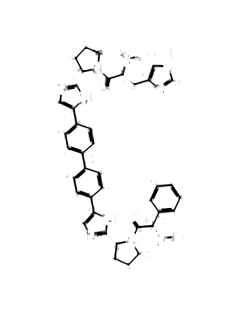 CCN(CC)[C@@H](C(=O)N1CCC[C@H]1c1ncc(-c2ccc(-c3ccc(-c4cnc([C@@H]5CCCN5C(=O)[C@H](Cc5cscn5)N(C)C(=O)O)[nH]4)cc3)cc2)[nH]1)c1ccccc1